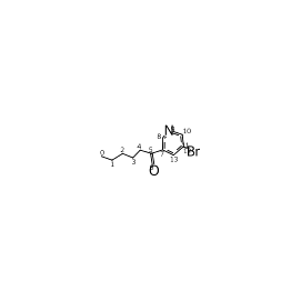 CCCCCC(=O)c1cncc(Br)c1